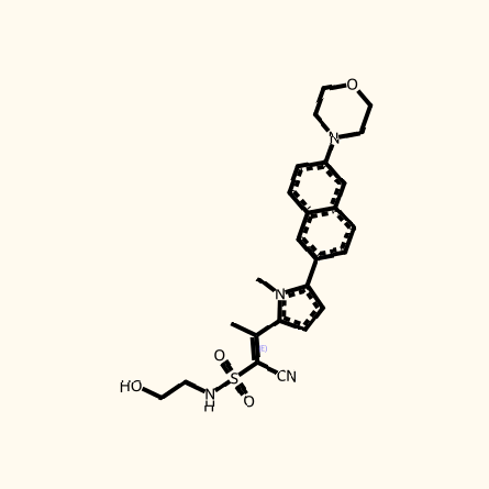 C/C(=C(/C#N)S(=O)(=O)NCCO)c1ccc(-c2ccc3cc(N4CCOCC4)ccc3c2)n1C